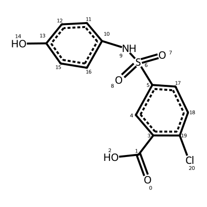 O=C(O)c1cc(S(=O)(=O)Nc2ccc(O)cc2)ccc1Cl